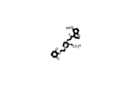 COc1ccc2nccc(C(F)CC[C@@H]3CCN(CCSc4c(Cl)cccc4Cl)C[C@@H]3CC(=O)O)c2c1